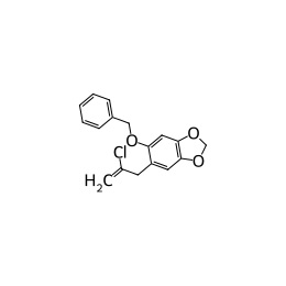 C=C(Cl)Cc1cc2c(cc1OCc1ccccc1)OCO2